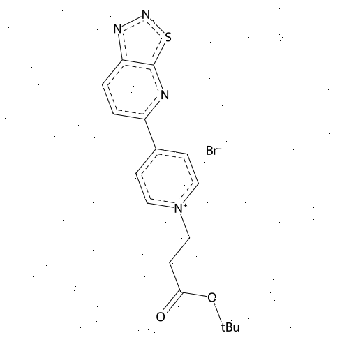 CC(C)(C)OC(=O)CC[n+]1ccc(-c2ccc3nnsc3n2)cc1.[Br-]